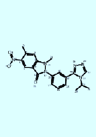 Cc1cc2c(cc1[N+](=O)[O-])c(=O)n(-c1cccc(-c3nncn3C(C)C)c1)n2C